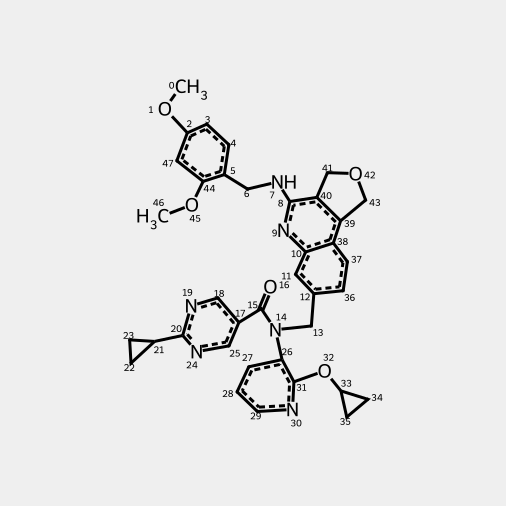 COc1ccc(CNc2nc3cc(CN(C(=O)c4cnc(C5CC5)nc4)c4cccnc4OC4CC4)ccc3c3c2COC3)c(OC)c1